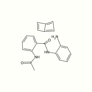 CC(=O)Nc1ccccc1C(=O)Nc1ccccc1N.c1cc2ccc1-2